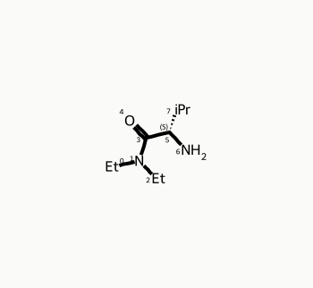 CCN(CC)C(=O)[C@@H](N)C(C)C